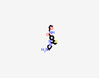 CC1(N)CCN(c2nc3cc(C(=O)NCC4CCCO4)ccc3c3sccc23)CC1